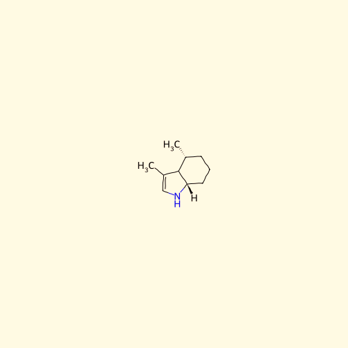 CC1=CN[C@H]2CCC[C@@H](C)C12